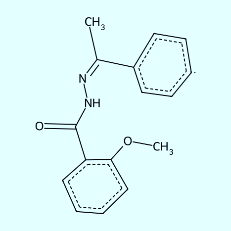 COc1ccccc1C(=O)NN=C(C)c1cc[c]cc1